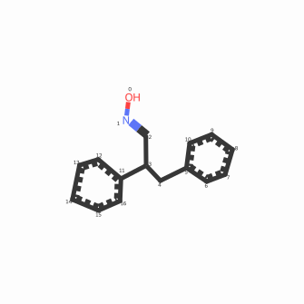 ON=CC(Cc1ccccc1)c1ccccc1